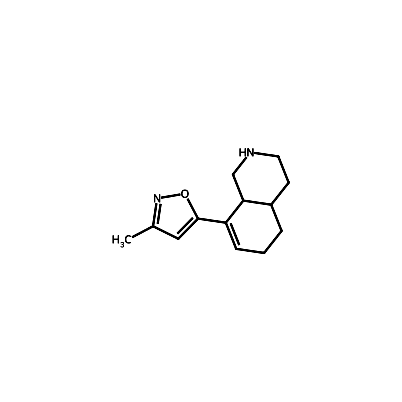 Cc1cc(C2=CCCC3CCNCC23)on1